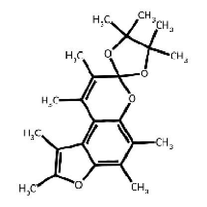 CC1=C(C)C2(Oc3c(C)c(C)c4oc(C)c(C)c4c31)OC(C)(C)C(C)(C)O2